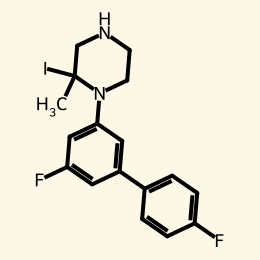 CC1(I)CNCCN1c1cc(F)cc(-c2ccc(F)cc2)c1